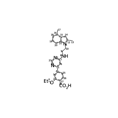 CCOc1cc(-c2cc(NCCn3c(C)cc4c(C)cccc43)ncn2)ccc1C(=O)O